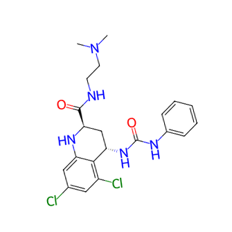 CN(C)CCNC(=O)[C@H]1C[C@H](NC(=O)Nc2ccccc2)c2c(Cl)cc(Cl)cc2N1